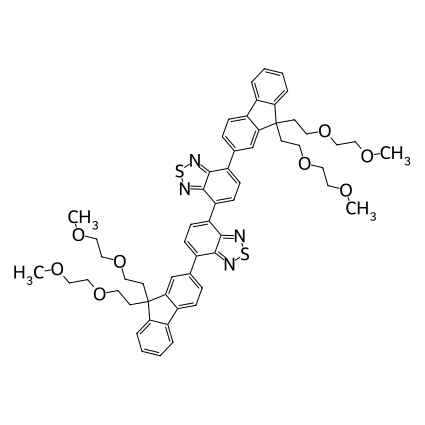 COCCOCCC1(CCOCCOC)c2ccccc2-c2ccc(-c3ccc(-c4ccc(-c5ccc6c(c5)C(CCOCCOC)(CCOCCOC)c5ccccc5-6)c5nsnc45)c4nsnc34)cc21